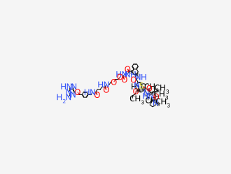 CCCO[C@H](C[C@H](C(C)C)N(CCC)C(=O)[C@@H](NC(=O)[C@H]1CCCCN1C)[C@@H](C)CC)c1nc(C(=O)N[C@H]2Cc3ccccc3[C@H](C(=O)NNC(=O)OCCOCCNC(=O)CCCC(=O)NCc3ccc(COc4nc(N)nc5[nH]cnc45)cc3)C2)cs1